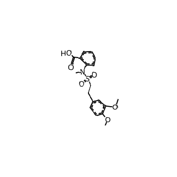 COc1ccc(CCS(=O)(=O)N(C)c2ccccc2C(=O)O)cc1OC